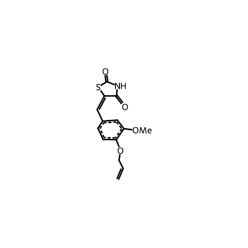 C=CCOc1ccc(C=C2SC(=O)NC2=O)cc1OC